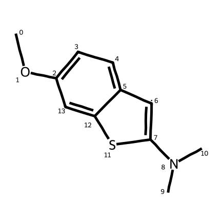 COc1ccc2[c]c(N(C)C)sc2c1